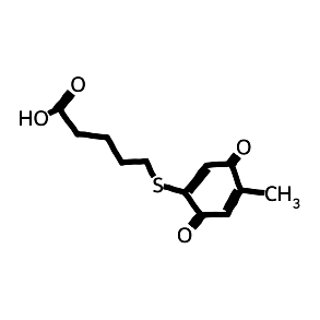 CC1=CC(=O)C(SCCCCC(=O)O)=CC1=O